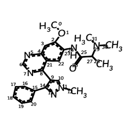 COc1cc2ncnc(-c3cn(C)nc3-c3ccccc3)c2cc1NC(=O)C(C)N(C)C